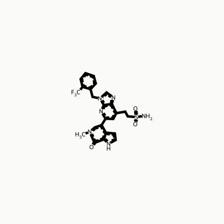 Cn1cc(-c2cc(CCS(N)(=O)=O)c3ncn(Cc4ccccc4C(F)(F)F)c3n2)c2cc[nH]c2c1=O